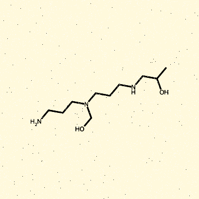 CC(O)CNCCCN(CO)CCCN